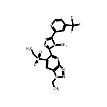 CCn1nnc2nc(-c3nnc(-c4cc(C(F)(F)F)ccn4)n3C)c(S(=O)(=O)CC)cc21